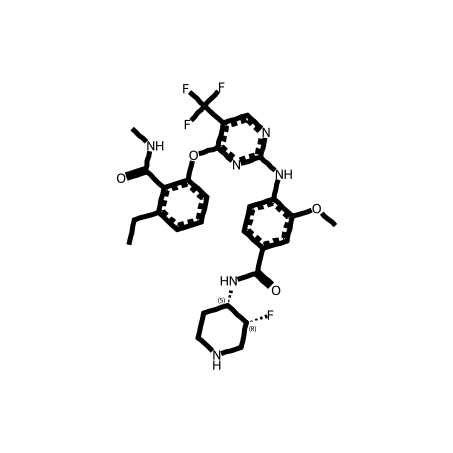 CCc1cccc(Oc2nc(Nc3ccc(C(=O)N[C@H]4CCNC[C@H]4F)cc3OC)ncc2C(F)(F)F)c1C(=O)NC